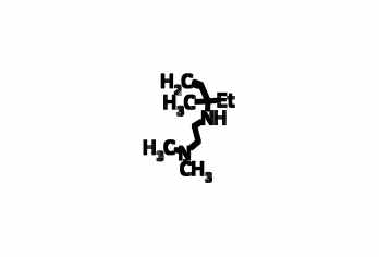 C=CC(C)(CC)NCCN(C)C